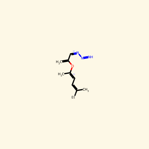 C=C(/C=N\N=N)O/C(C)=C/C=C(C)CC